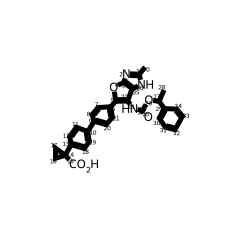 Cc1nc2oc(-c3ccc(-c4ccc(C5(C(=O)O)CC5)cc4)cc3)c(NC(=O)OC(C)c3ccccc3)c2[nH]1